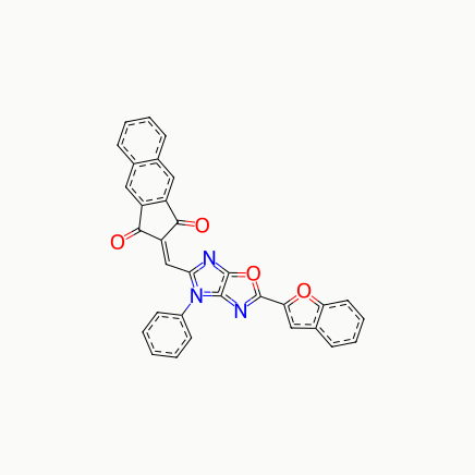 O=C1C(=Cc2nc3oc(-c4cc5ccccc5o4)nc3n2-c2ccccc2)C(=O)c2cc3ccccc3cc21